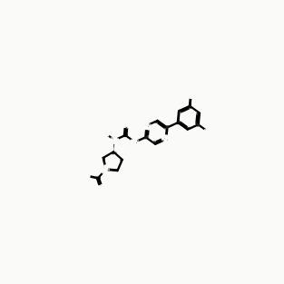 CC(=O)N1CC[C@H](N(C)C(=O)Nc2cnc(-c3cc(F)cc(F)c3)cn2)C1